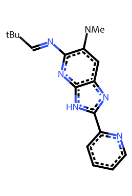 CNc1cc2nc(-c3ccccn3)[nH]c2nc1/N=C/C(C)(C)C